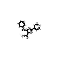 NC(=O)c1nc(-c2ccncc2)sc1Nc1ccccc1